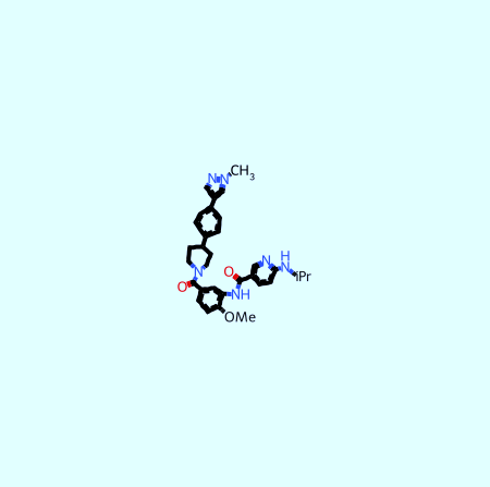 COc1ccc(C(=O)N2CCC(c3ccc(-c4cnn(C)c4)cc3)CC2)cc1NC(=O)c1ccc(NC(C)C)nc1